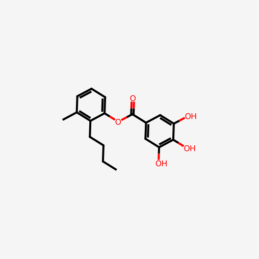 CCCCc1c(C)cccc1OC(=O)c1cc(O)c(O)c(O)c1